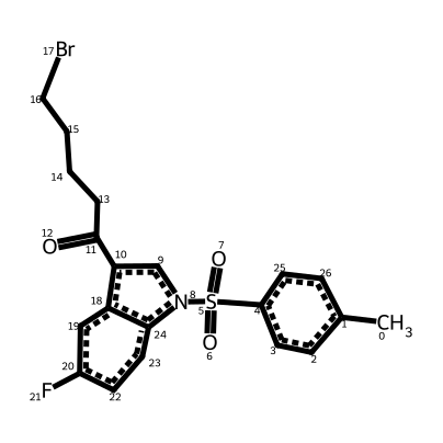 Cc1ccc(S(=O)(=O)n2cc(C(=O)CCCCBr)c3cc(F)ccc32)cc1